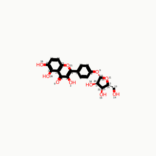 O=c1c(O)c(-c2ccc(O[C@@H]3O[C@H](CO)[C@@H](O)[C@H]3O)cc2)oc2ccc(O)c(O)c12